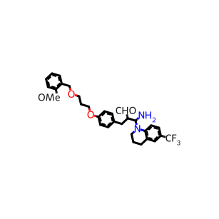 COc1ccccc1COCCCOc1ccc(CC(C=O)C(N)N2CCCc3cc(C(F)(F)F)ccc32)cc1